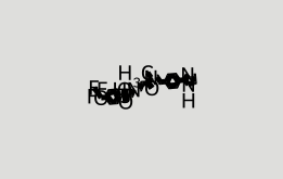 CN(CCc1ccc(C2=NCCN2)cc1)C(=O)CCNCS(=O)(=O)c1ccc(OC(F)(F)F)cc1